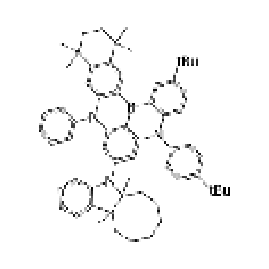 CC(C)(C)c1ccc(N2c3ccc(C(C)(C)C)cc3B3c4cc5c(cc4N(c4ccccc4)c4cc(N6c7ccccc7C7(C)CCCCCCC67C)cc2c43)C(C)(C)CCC5(C)C)cc1